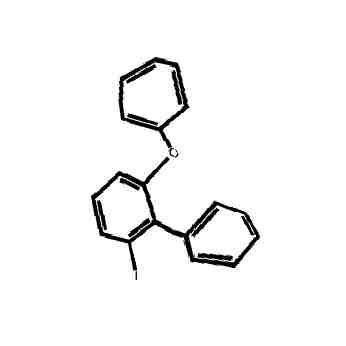 Ic1cccc(Oc2ccccc2)c1-c1ccccc1